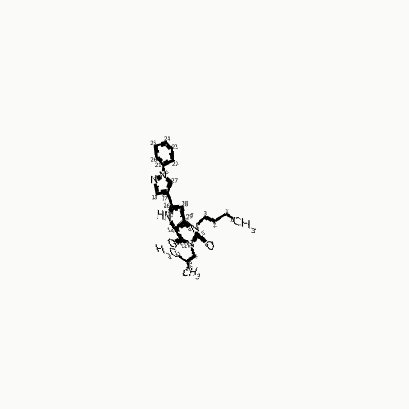 CCCCn1c(=O)n(CC(C)C)c(=O)c2[nH]c(-c3cnn(-c4ccccc4)c3)cc21